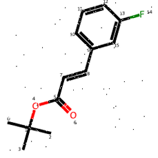 CC(C)(C)OC(=O)C=Cc1cccc(F)c1